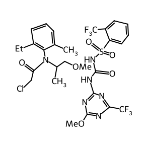 CCc1cccc(C)c1N(C(=O)CCl)C(C)COC.COc1nc(NC(=O)NS(=O)(=O)c2ccccc2C(F)(F)F)nc(C(F)(F)F)n1